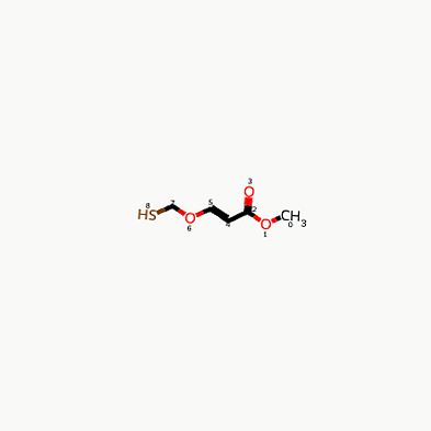 COC(=O)C=COCS